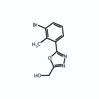 Cc1c(Br)cccc1-c1nnc(CO)o1